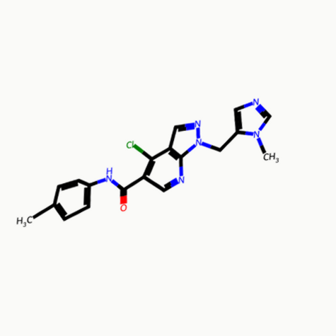 Cc1ccc(NC(=O)c2cnc3c(cnn3Cc3cncn3C)c2Cl)cc1